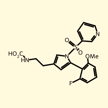 COc1cccc(F)c1-c1cc(CCNC(=O)O)cn1S(=O)(=O)c1cccnc1